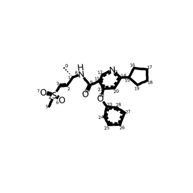 C[C@@H](/C=C/S(C)(=O)=O)NC(=O)c1cnc(C2CCCC2)cc1Oc1ccccc1